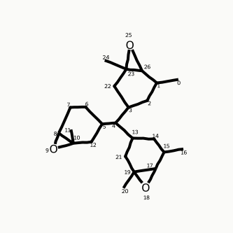 CC1CC(C(C2CCC3OC3(C)C2)C2CC(C)C3OC3(C)C2)CC2(C)OC12